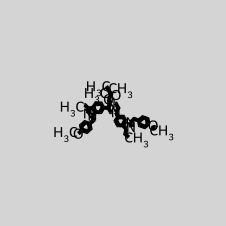 CCc1nn(Cc2ccc(OC)cc2)c2cc(C3CN(c4ccc5c(CC)nn(Cc6ccc(OC)cc6)c5c4)CCN3OC(=O)C(C)(C)C)ccc12